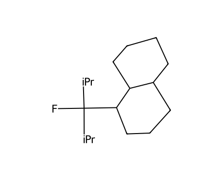 CC(C)C(F)(C(C)C)C1CCCC2CCCCC21